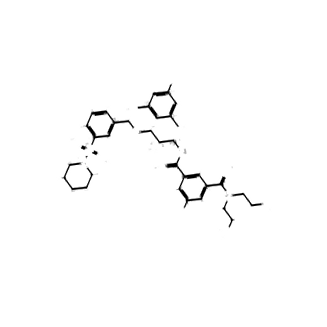 CCCN(CCC)C(=O)c1cc(C)cc(C(=O)N[C@@H](Cc2cc(F)cc(F)c2)[C@H](O)CNCc2cccc(S(=O)(=O)N3CCCCC3)c2)c1